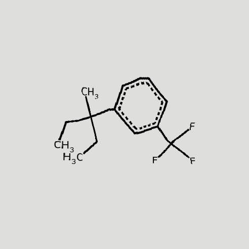 CCC(C)(CC)c1cccc(C(F)(F)F)c1